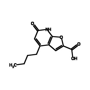 CCCCc1cc(=O)[nH]c2oc(C(=O)O)cc12